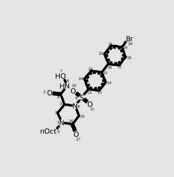 CCCCCCCCN1CC(C(=O)NO)N(S(=O)(=O)c2ccc(-c3ccc(Br)cc3)cc2)CC1=O